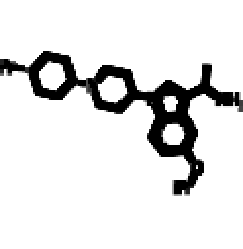 CC(C)Oc1ccc2c(c1)c(C(C)N)cn2C1CCN([C@H]2CC[C@@H](C(C)C)CC2)CC1